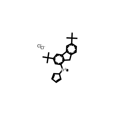 [CH2]=[Zr+2]([c]1cc(C(C)(C)C)cc2c1Cc1ccc(C(C)(C)C)cc1-2)[CH]1C=CC=C1.[Cl-].[Cl-]